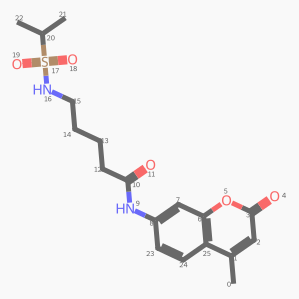 Cc1cc(=O)oc2cc(NC(=O)CCCCNS(=O)(=O)C(C)C)ccc12